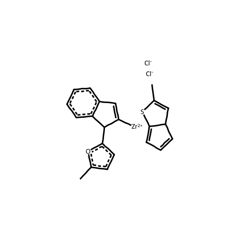 CC1=CC2C=CC=C2S1.Cc1ccc(C2[C]([Zr+2])=Cc3ccccc32)o1.[Cl-].[Cl-]